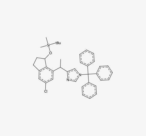 CC(c1cn(C(c2ccccc2)(c2ccccc2)c2ccccc2)cn1)c1cc(Cl)cc2c1C(O[Si](C)(C)C(C)(C)C)CC2